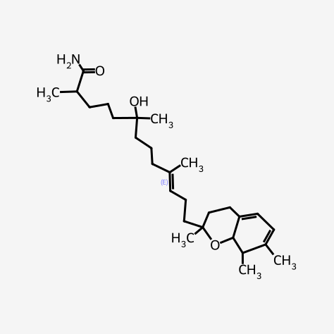 CC1=CC=C2CCC(C)(CC/C=C(\C)CCCC(C)(O)CCCC(C)C(N)=O)OC2C1C